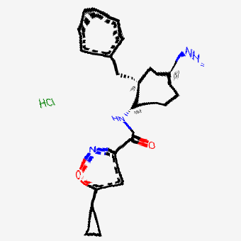 Cl.N[C@H]1CC[C@H](NC(=O)c2cc(C3CC3)on2)[C@H](Cc2ccccc2)C1